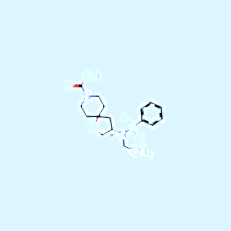 CCN([C@H]1COC2(CCN(C(=O)O)CC2)C1)S(=O)(=O)c1ccccc1